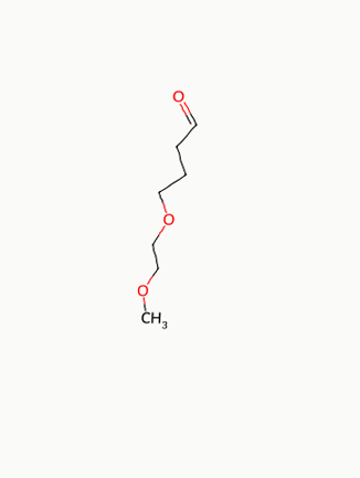 COCCOCCCC=O